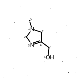 CN1CN=C(CO)C1